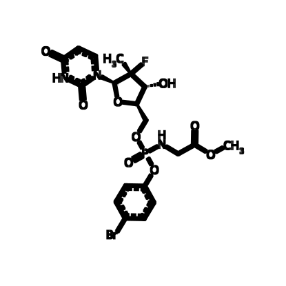 COC(=O)CNP(=O)(OC[C@H]1O[C@@H](n2ccc(=O)[nH]c2=O)[C@](C)(F)[C@@H]1O)Oc1ccc(Br)cc1